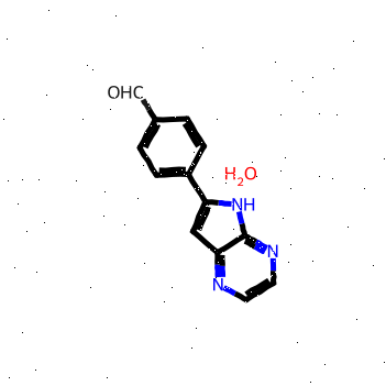 O.O=Cc1ccc(-c2cc3nccnc3[nH]2)cc1